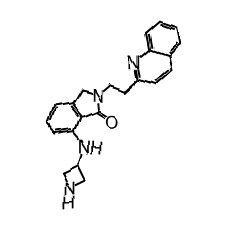 O=C1c2c(cccc2NC2CNC2)CN1CCc1ccc2ccccc2n1